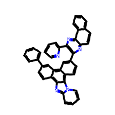 c1ccc(-c2ccc3c(c2)c2cc(-c4nc5ccc6ccccc6c5nc4-c4ccccn4)ccc2c2c3nc3ccccn32)cc1